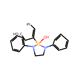 CC(C)C=C(CC(=O)O)[P]1(O)N(c2ccccc2)CCN1c1ccccc1